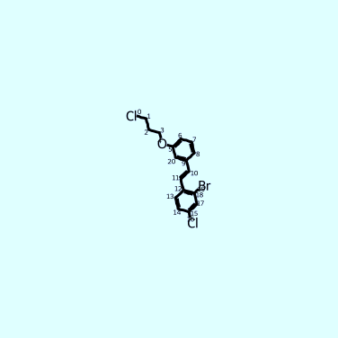 ClCCCOc1cccc(/C=C/c2ccc(Cl)cc2Br)c1